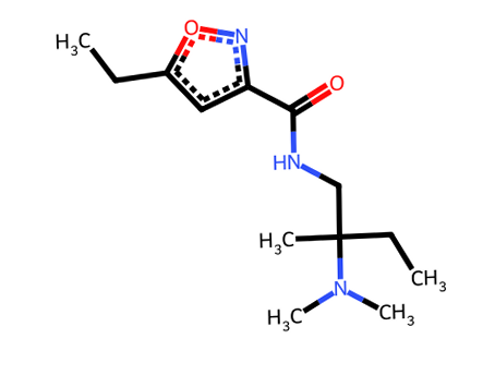 CCc1cc(C(=O)NCC(C)(CC)N(C)C)no1